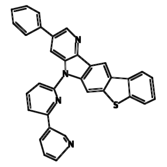 c1ccc(-c2cnc3c4cc5c(cc4n(-c4cccc(-c6cccnc6)n4)c3c2)sc2ccccc25)cc1